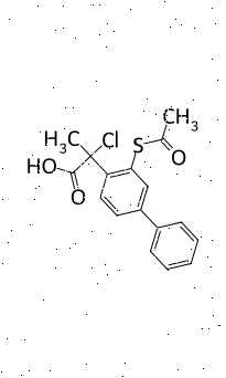 CC(=O)Sc1cc(-c2ccccc2)ccc1C(C)(Cl)C(=O)O